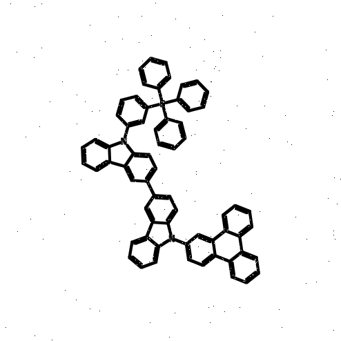 c1ccc(S(c2ccccc2)(c2ccccc2)c2cccc(-n3c4ccccc4c4cc(-c5ccc6c(c5)c5ccccc5n6-c5ccc6c7ccccc7c7ccccc7c6c5)ccc43)c2)cc1